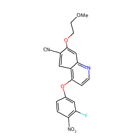 [C-]#[N+]c1cc2c(Oc3ccc([N+](=O)[O-])c(F)c3)ccnc2cc1OCCOC